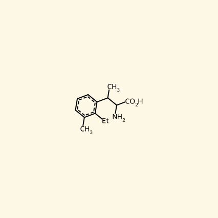 CCc1c(C)cccc1C(C)C(N)C(=O)O